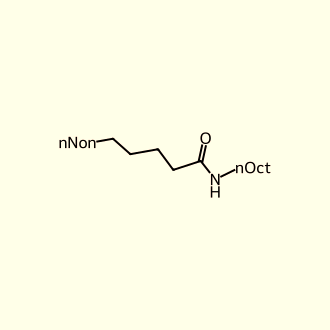 CCCCCCCCCCCCCC(=O)NCCCCCCCC